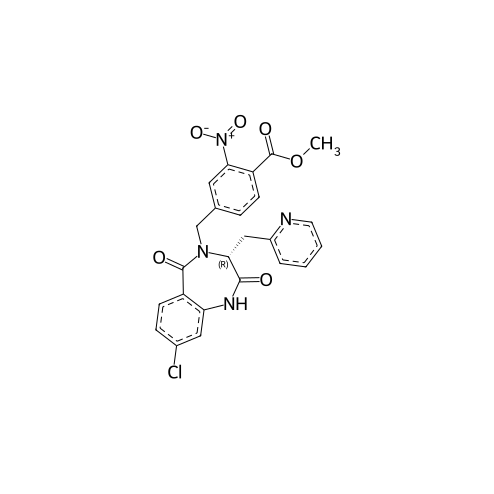 COC(=O)c1ccc(CN2C(=O)c3ccc(Cl)cc3NC(=O)[C@H]2Cc2ccccn2)cc1[N+](=O)[O-]